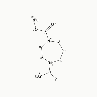 CC(N1CCCN(C(=O)OC(C)(C)C)CC1)C(C)(C)C